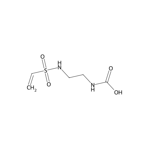 C=CS(=O)(=O)NCCNC(=O)O